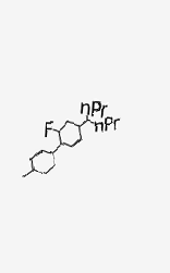 CCCC(CCC)C1CCC(C2CCC(C)CC2)C(F)C1